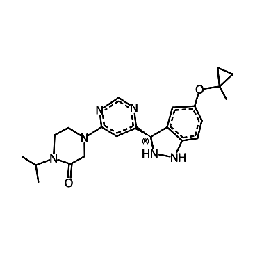 CC(C)N1CCN(c2cc([C@@H]3NNc4ccc(OC5(C)CC5)cc43)ncn2)CC1=O